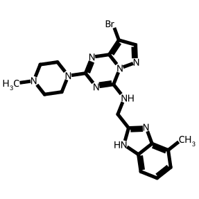 Cc1cccc2[nH]c(CNc3nc(N4CCN(C)CC4)nc4c(Br)cnn34)nc12